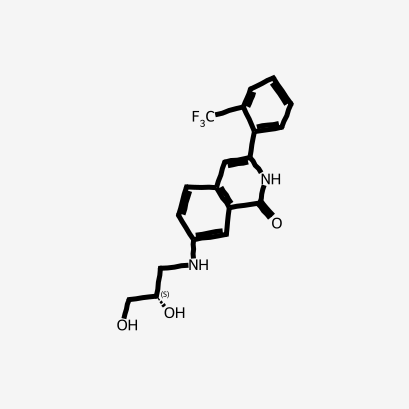 O=c1[nH]c(-c2ccccc2C(F)(F)F)cc2ccc(NC[C@H](O)CO)cc12